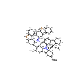 CC(C)(C)c1ccc2c(c1)c1cc(C(C)(C)C)cc3c1n2-c1c2c(cc4c1C(C)(C)c1ccccc1-4)-c1c(ccc4sc5ccccc5c14)N(c1cccc4sc5ccccc5c14)B23